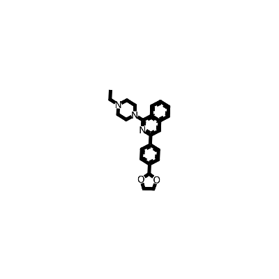 CCN1CCN(c2nc(-c3ccc(C4OCCO4)cc3)cc3ccccc23)CC1